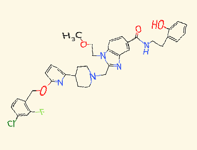 COCCn1c(CN2CCC(c3cccc(OCc4ccc(Cl)cc4F)n3)CC2)nc2cc(C(=O)NCCc3ccccc3O)ccc21